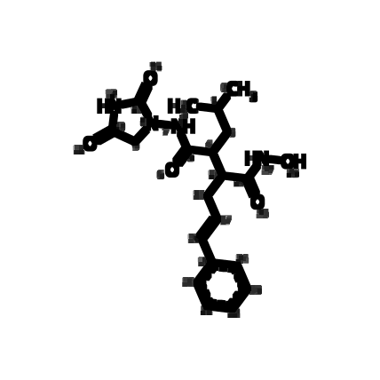 CC(C)CC(C(=O)NN1CC(=O)NC1=O)C(C/C=C/c1ccccc1)C(=O)NO